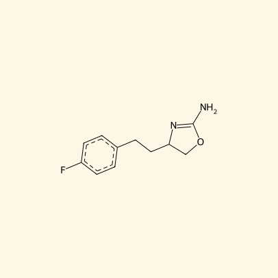 NC1=NC(CCc2ccc(F)cc2)CO1